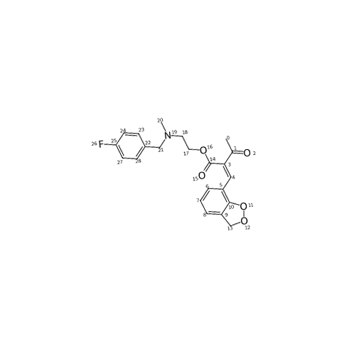 CC(=O)/C(=C/c1cccc2c1OOC2)C(=O)OCCN(C)Cc1ccc(F)cc1